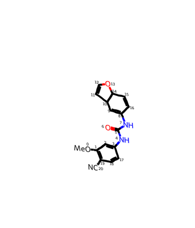 COc1cc(NC(=O)NC2=CC3C=COC3C=C2)ccc1C#N